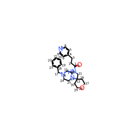 O=C(CCc1ccncc1)NCC1(N2CCN(Cc3ccccc3)CC2)CCOCC1